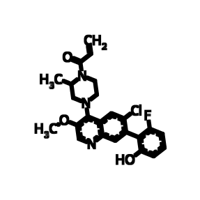 C=CC(=O)N1CCN(c2c(OC)cnc3cc(-c4c(O)cccc4F)c(Cl)cc23)CC1C